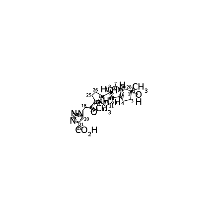 C[C@@]1(O)CC[C@H]2[C@H](CC[C@@H]3[C@@H]2CC[C@]2(C)[C@@H](C(=O)Cn4cc(C(=O)O)nn4)CC[C@@H]32)C1